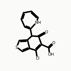 O=C(O)C1=C(Cl)c2cscc2C(C2=CC=CC=CN2)C1=O